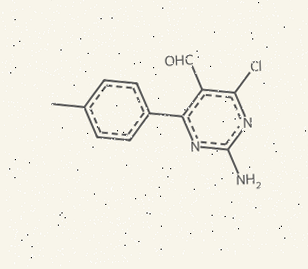 Cc1ccc(-c2nc(N)nc(Cl)c2C=O)cc1